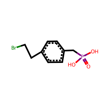 O=P(O)(O)Cc1ccc(CCBr)cc1